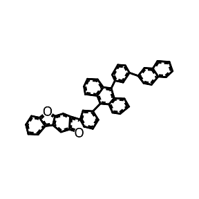 c1cc(-c2ccc3ccccc3c2)cc(-c2c3ccccc3c(-c3ccc4oc5cc6c(cc5c4c3)oc3ccccc36)c3ccccc23)c1